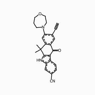 C#Cc1cc2c(cc1N1CCCOCC1)C(C)(C)c1[nH]c3cc(C#N)ccc3c1C2=O